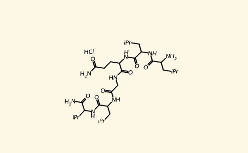 CC(C)CC(N)C(=O)NC(CC(C)C)C(=O)NC(CCC(N)=O)C(=O)NCC(=O)NC(CC(C)C)C(=O)NC(C(N)=O)C(C)C.Cl